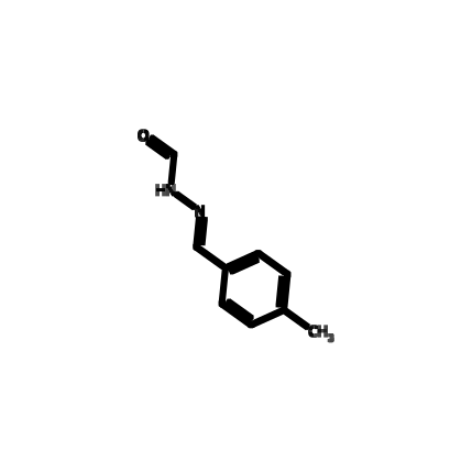 Cc1ccc(C=NNC=O)cc1